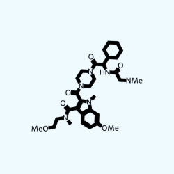 CNCC(=O)NC(C(=O)N1CCN(C(=O)c2c(C(=O)N(C)CCOC)c3ccc(OC)cc3n2C)CC1)C1CCCCC1